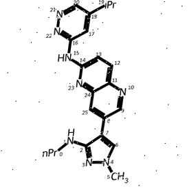 CCCNc1nn(C)cc1-c1cnc2ccc(Nc3cc(C(C)C)cnn3)nc2c1